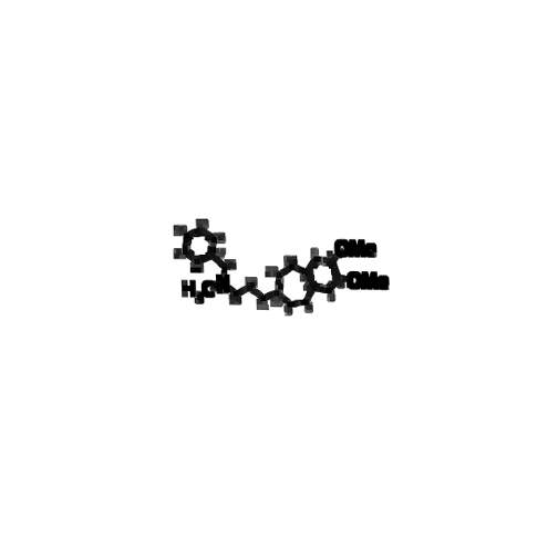 COc1cc2c(cc1OC)CCC(CCCN(C)Cc1ccccc1)=CC2